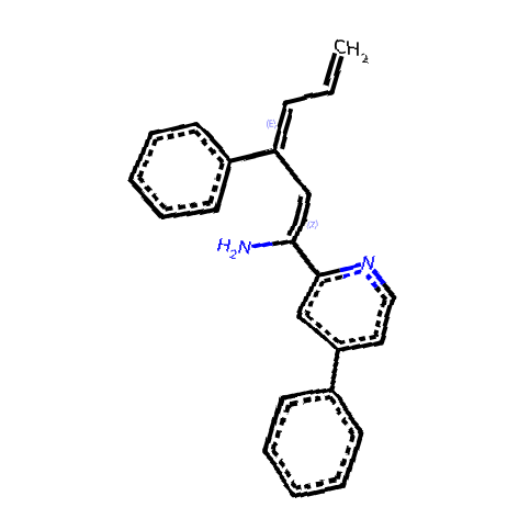 C=C/C=C(\C=C(/N)c1cc(-c2ccccc2)ccn1)c1ccccc1